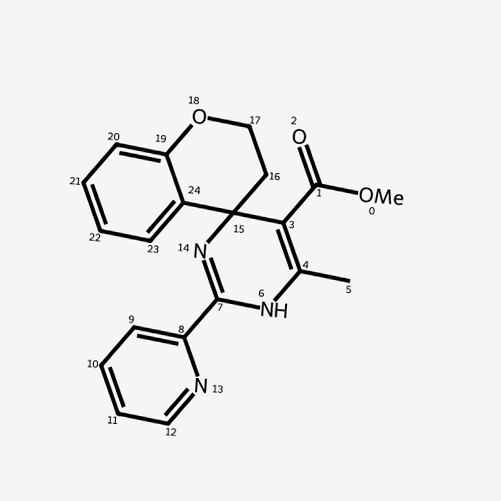 COC(=O)C1=C(C)NC(c2ccccn2)=NC12CCOc1ccccc12